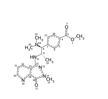 COC(=O)c1ccc([C@@H]([C@H](C)Nc2nn(C)c(=O)c3ncccc23)N(C)C)cc1